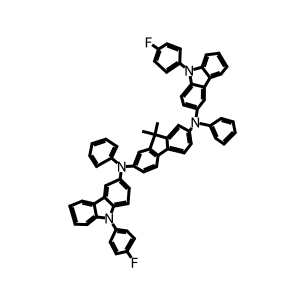 CC1(C)c2cc(N(c3ccccc3)c3ccc4c(c3)c3ccccc3n4-c3ccc(F)cc3)ccc2-c2ccc(N(c3ccccc3)c3ccc4c(c3)c3ccccc3n4-c3ccc(F)cc3)cc21